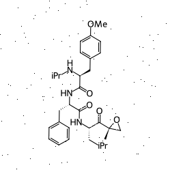 COc1ccc(C[C@H](NC(C)C)C(=O)N[C@@H](Cc2ccccc2)C(=O)N[C@@H](CC(C)C)C(=O)[C@@]2(C)CO2)cc1